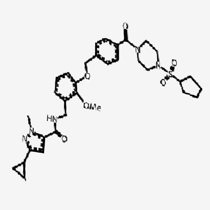 COc1c(CNC(=O)c2cc(C3CC3)nn2C)cccc1OCc1ccc(C(=O)N2CCN(S(=O)(=O)C3CCCC3)CC2)cc1